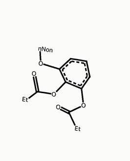 CCCCCCCCCOc1cccc(OC(=O)CC)c1OC(=O)CC